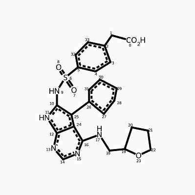 O=C(O)Cc1ccc(S(=O)(=O)Nc2[nH]c3ncnc(NCC4CCCO4)c3c2-c2ccccc2)cc1